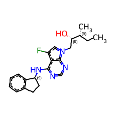 CC[C@@H](C)[C@@H](O)Cn1cc(F)c2c(N[C@H]3CCc4ccccc43)ncnc21